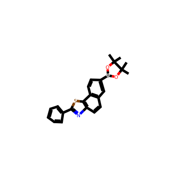 CC1(C)OB(c2ccc3c(ccc4nc(-c5ccccc5)sc43)c2)OC1(C)C